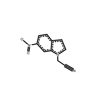 N#CCn1ccc2ccc([N+](=O)[O-])cc21